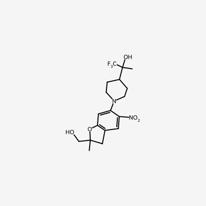 CC1(CO)Cc2cc([N+](=O)[O-])c(N3CCC(C(C)(O)C(F)(F)F)CC3)cc2O1